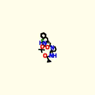 CC(C)(C)OC(=O)N[C@@H](CCN1CCC[C@H]1CNC(=O)C1CC1)Cc1ccccc1F